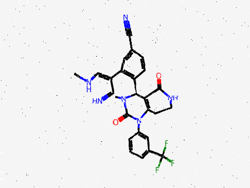 CN/C=C(\C=N)c1cc(C#N)ccc1[C@H]1C2=C(CCNC2=O)N(c2cccc(C(F)(F)F)c2)C(=O)N1C